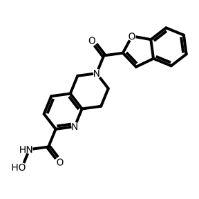 O=C(NO)c1ccc2c(n1)CCN(C(=O)c1cc3ccccc3o1)C2